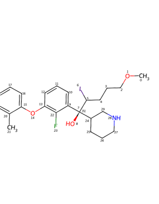 COCCCC(I)[C@@](O)(c1cccc(Oc2ccccc2C)c1F)C1CCCNC1